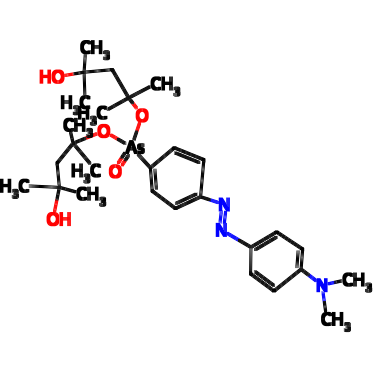 CN(C)c1ccc(N=Nc2ccc([As](=O)(OC(C)(C)CC(C)(C)O)OC(C)(C)CC(C)(C)O)cc2)cc1